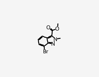 COC(=O)c1c2cccc(Br)c2nn1C